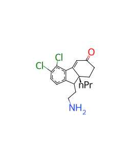 CCC[C@]12CCC(=O)C=C1c1c(ccc(Cl)c1Cl)C2CCN